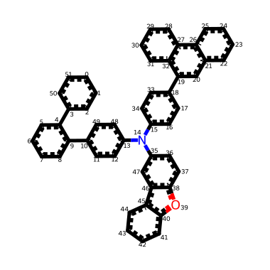 c1ccc(-c2ccccc2-c2ccc(N(c3ccc(-c4cc5ccccc5c5ccccc45)cc3)c3ccc4oc5ccccc5c4c3)cc2)cc1